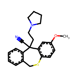 COc1ccc2c(c1)C(C#N)(CCN1CCCC1)c1ccccc1CS2